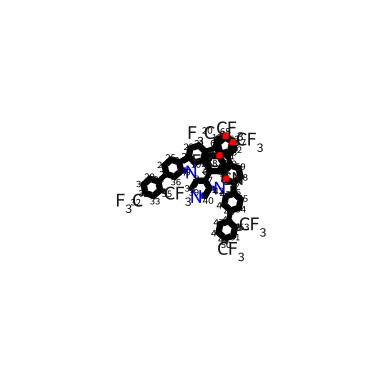 N#Cc1ccccc1-c1c(-n2c3cc(-c4ccc(C(F)(F)F)cc4C(F)(F)F)ccc3c3ccc(-c4ccc(C(F)(F)F)cc4C(F)(F)F)cc32)cncc1-n1c2cc(-c3ccc(C(F)(F)F)cc3C(F)(F)F)ccc2c2ccc(-c3ccc(C(F)(F)F)cc3C(F)(F)F)cc21